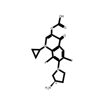 N[C@@H]1CCN(c2c(F)cc3c(=O)c(OC(=O)O)cn(C4CC4)c3c2F)C1